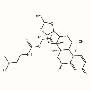 CCCC1O[C@@H]2C[C@H]3[C@@H]4C[C@H](F)C5=CC(=O)C=C[C@]5(C)C4[C@@H](O)C[C@]3(C)[C@]2(C(=O)COC(=O)NCCN(C)C(C)C)O1